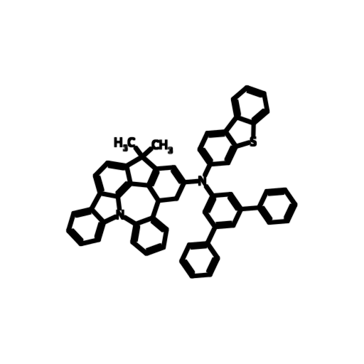 CC1(C)C2=C3c4c1ccc1c5ccccc5n(c41)-c1ccccc1C3CC(N(c1cc(-c3ccccc3)cc(-c3ccccc3)c1)c1ccc3c(c1)sc1ccccc13)=C2